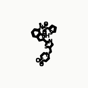 CN(c1cccc2c1NC(C1=NCC(CN3CCS(=O)(=O)CC3)S1)C2)S(=O)(=O)c1cccs1